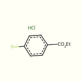 CCOC(=O)c1ccc(F)cc1.Cl